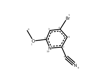 COc1cc(Br)cc(C#N)n1